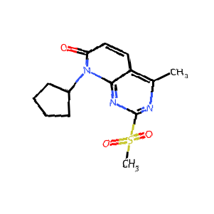 Cc1nc(S(C)(=O)=O)nc2c1ccc(=O)n2C1CCCC1